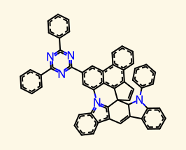 C1=CC23c4c1c1ccccc1c1cc(-c5nc(-c6ccccc6)nc(-c6ccccc6)n5)cc(c41)-n1c2c(c2ccccc21)C=C1c2ccccc2N(c2ccccc2)C13